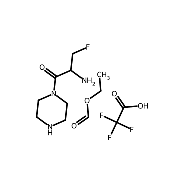 CCOC=O.NC(CF)C(=O)N1CCNCC1.O=C(O)C(F)(F)F